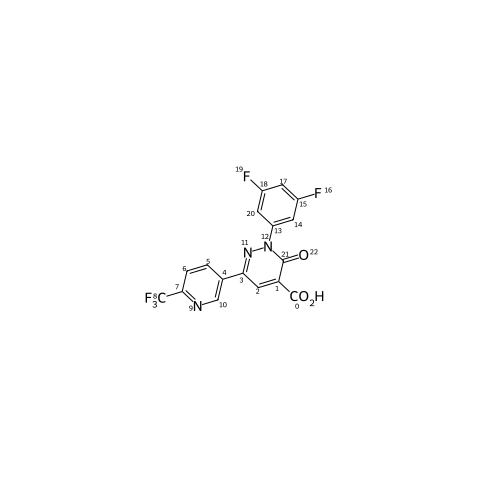 O=C(O)c1cc(-c2ccc(C(F)(F)F)nc2)nn(-c2cc(F)cc(F)c2)c1=O